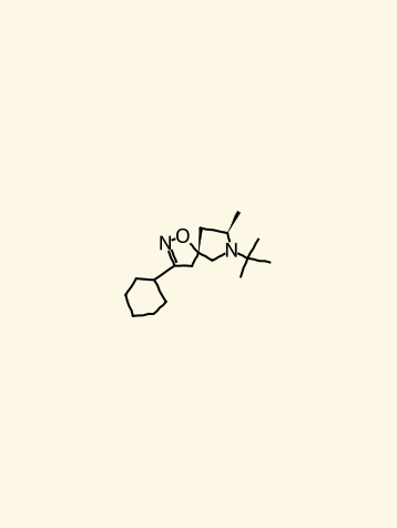 C[C@@H]1C[C@]2(CC(C3CCCCC3)=NO2)CN1C(C)(C)C